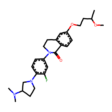 COC(C)CCOc1ccc2c(c1)CCN(c1ccc(N3CCC(N(C)C)C3)c(F)c1)C2=O